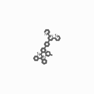 CC1C=C(n2c3c(c4ccccc42)-c2ccccc2N(C)C3c2ccc(-c3ccc(-c4cc(C5=CC=CCN5C)nc(-c5ccccn5)c4)cc3)cc2)C=CC1